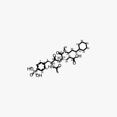 CC(=O)N[C@@H](Cc1ccc(P(=O)(O)O)cc1)C(=O)N[C@@H](CCC(=O)O)C(=O)N(C)CCCC1CCCCC1